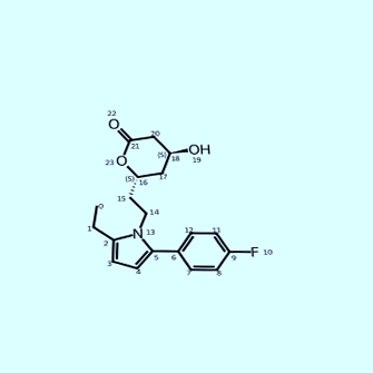 CCc1ccc(-c2ccc(F)cc2)n1CC[C@H]1C[C@H](O)CC(=O)O1